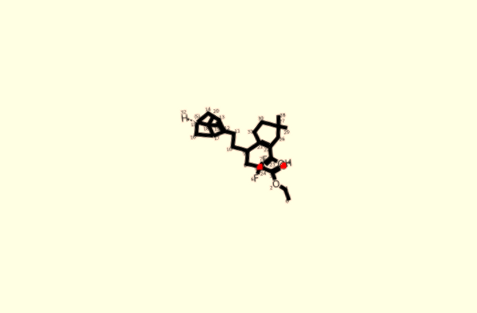 CCOC(=O)C(F)(F)CC(CCC1=CC[C@@H]2CC1C2(C)C)C1=C(C(=O)O)CC(C)(C)CC1